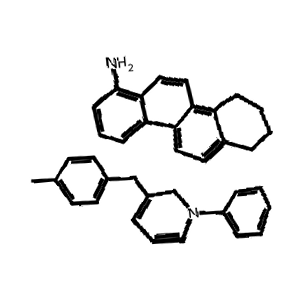 Cc1ccc(CC2=CC=CN(c3ccccc3)C2)cc1.Nc1cccc2c1ccc1c3c(ccc12)CCCC3